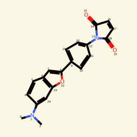 CN(C)c1ccc2cc(-c3ccc(N4C(=O)C=CC4=O)cc3)oc2c1